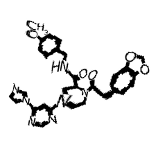 COc1ccc(CNC(=O)C2CN(c3cc(-n4ccnc4)ncn3)CCN2C(=O)Cc2ccc3c(c2)OCO3)cc1